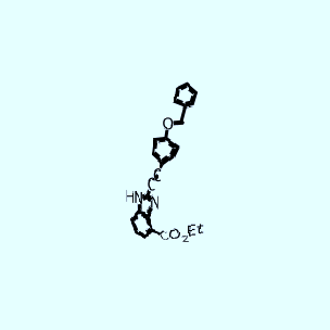 CCOC(=O)c1cccc2[nH]c(CCc3ccc(OCc4ccccc4)cc3)nc12